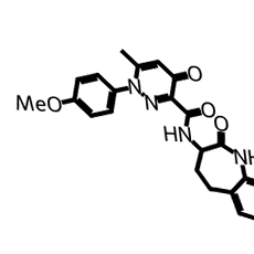 COc1ccc(-n2nc(C(=O)NC3CCc4ccccc4NC3=O)c(=O)cc2C)cc1